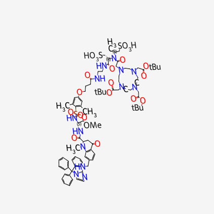 COC(=O)[C@H](CNC(=O)C1CC(=O)c2ccc(CNc3nccn3C(c3ccccc3)(c3ccccc3)c3ccccc3)cc2N1C)NS(=O)(=O)c1c(C)cc(OCCCC(=O)NCCNC(=O)[C@H](CS(=O)(=O)O)N(C(=O)CN2CCN(CC(=O)OC(C)(C)C)CCN(CC(=O)OC(C)(C)C)CCN(CC(=O)OC(C)(C)C)CC2)[C@H](C)CS(=O)(=O)O)cc1C